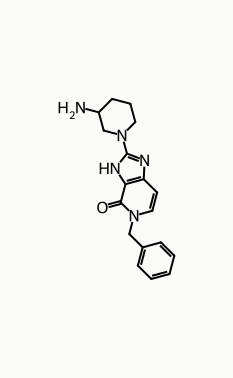 NC1CCCN(c2nc3ccn(Cc4ccccc4)c(=O)c3[nH]2)C1